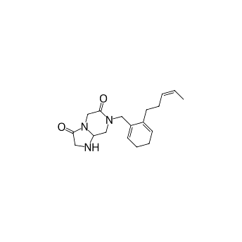 C/C=C\CCC1=CCCC=C1CN1CC2NCC(=O)N2CC1=O